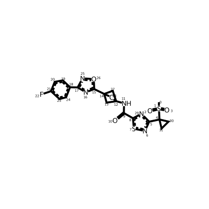 CS(=O)(=O)C1(c2nsc(C(=O)NC34CC(c5nc(-c6ccc(F)cc6)no5)(C3)C4)n2)CC1